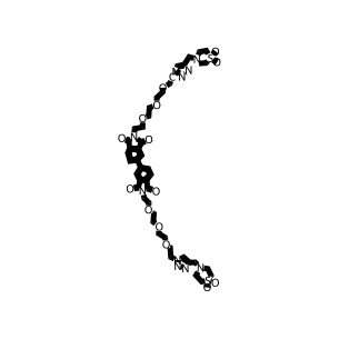 O=C1c2ccc(-c3ccc4c(c3)C(=O)N(CCOCCOCCOCCn3cc(CN5CCS(=O)(=O)CC5)nn3)C4=O)cc2C(=O)N1CCOCCOCCOCCn1cc(CN2CCS(=O)(=O)CC2)nn1